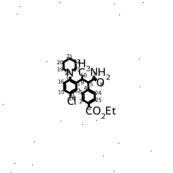 CCOC(=O)c1ccc(C(C(N)=O)C(C)c2cc(Cl)ccc2N2CCCCC2)cc1